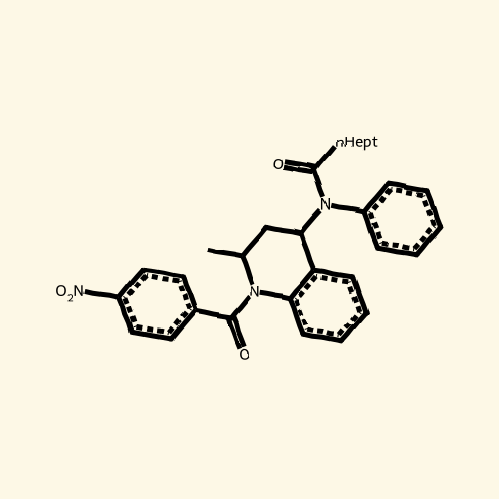 CCCCCCCC(=O)N(c1ccccc1)C1CC(C)N(C(=O)c2ccc([N+](=O)[O-])cc2)c2ccccc21